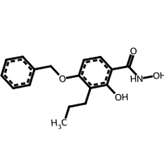 CCCc1c(OCc2ccccc2)ccc(C(=O)NO)c1O